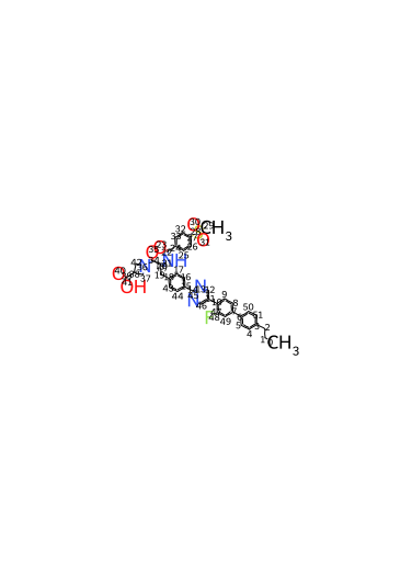 CCCc1ccc(-c2ccc(-c3cnc(-c4ccc(C[C@H](NC(=O)c5ccc(S(C)(=O)=O)cc5)C(=O)N5CC(C(=O)O)C5)cc4)nc3)c(F)c2)cc1